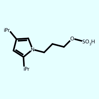 CC(C)c1cc(C(C)C)n(CCCOS(=O)(=O)O)c1